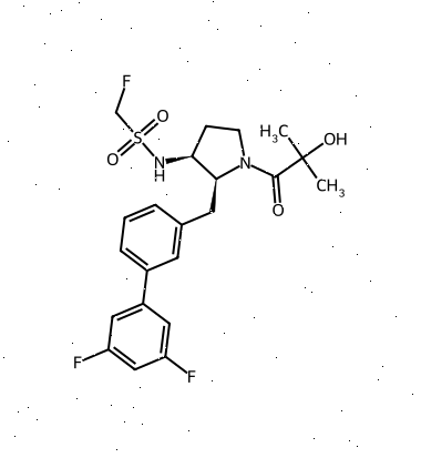 CC(C)(O)C(=O)N1CC[C@H](NS(=O)(=O)CF)[C@@H]1Cc1cccc(-c2cc(F)cc(F)c2)c1